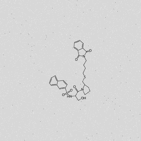 O=C1c2ccccc2C(=O)N1CCCCSCC1CCCN1C(=O)C(CO)NS(=O)(=O)c1ccc2ccccc2c1